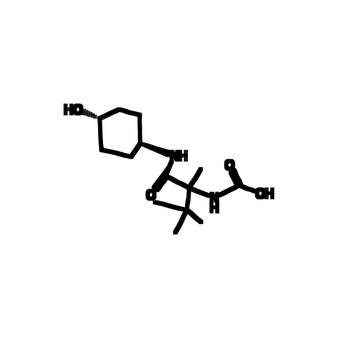 CC(C)(C)C(C)(NC(=O)O)C(=O)N[C@H]1CC[C@H](O)CC1